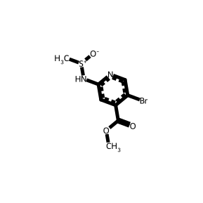 COC(=O)c1cc(N[S+](C)[O-])ncc1Br